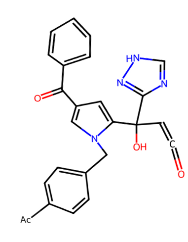 CC(=O)c1ccc(Cn2cc(C(=O)c3ccccc3)cc2C(O)(C=C=O)c2nc[nH]n2)cc1